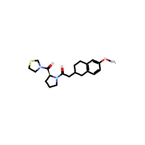 COc1ccc2c(c1)CCC(CC(=O)N1CCC[C@H]1C(=O)N1CCSC1)C2